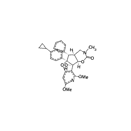 COc1cc2c(c(OC)n1)[C@]1(O)[C@@H]3OC(=O)N(C)C[C@@H]3[C@@H](c3ccccc3)[C@]1(c1ccc(C3CC3)cc1)O2